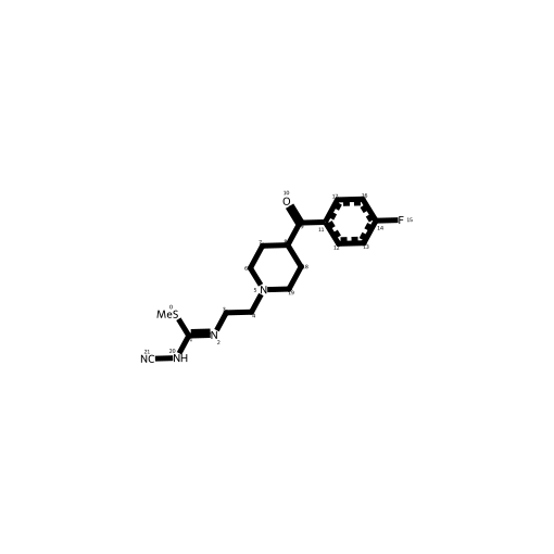 CS/C(=N\CCN1CCC(C(=O)c2ccc(F)cc2)CC1)NC#N